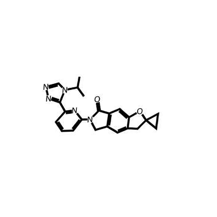 CC(C)n1cnnc1-c1cccc(N2Cc3cc4c(cc3C2=O)OC2(CC2)C4)n1